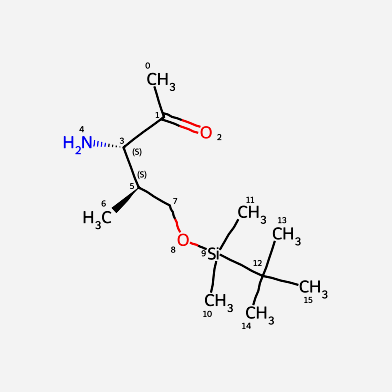 CC(=O)[C@@H](N)[C@H](C)CO[Si](C)(C)C(C)(C)C